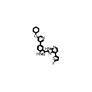 Fc1ccc(-c2ccnc3[nH]c(-c4n[nH]c5ccc(-c6cncc(OC7CCCCC7)c6)cc45)nc23)s1